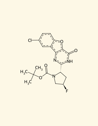 CC(C)(C)OC(=O)N1C[C@H](F)C[C@H]1c1nc2c(oc3ccc(Cl)cc32)c(=O)[nH]1